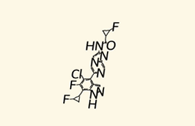 O=C(Nc1cn2cc(-c3c(Cl)c(F)c(C4CC4F)c4[nH]ncc34)ncc2n1)C1CC1F